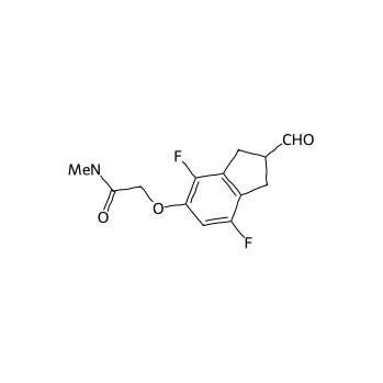 CNC(=O)COc1cc(F)c2c(c1F)CC(C=O)C2